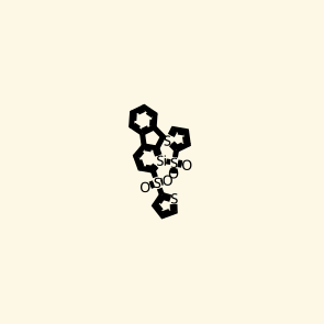 O=S(=O)(c1cccs1)c1ccc2c([si]1S(=O)(=O)c1cccs1)Cc1ccccc1-2